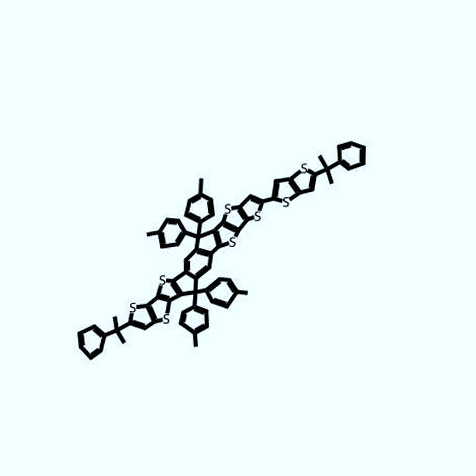 Cc1ccc(C2(c3ccc(C)cc3)c3cc4c(cc3-c3sc5c(sc6cc(-c7cc8sc(C(C)(C)c9ccccc9)cc8s7)sc65)c32)C(c2ccc(C)cc2)(c2ccc(C)cc2)c2c-4sc3c2sc2cc(C(C)(C)c4ccccc4)sc23)cc1